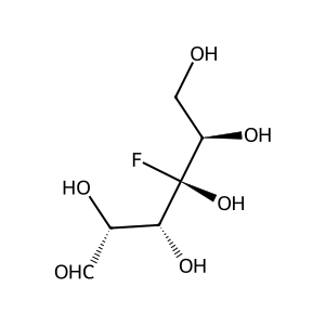 O=C[C@H](O)[C@@H](O)[C@](O)(F)[C@H](O)CO